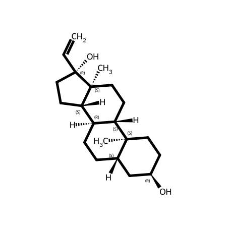 C=C[C@]1(O)CC[C@H]2[C@@H]3CC[C@H]4C[C@H](O)CC[C@]4(C)[C@H]3CC[C@@]21C